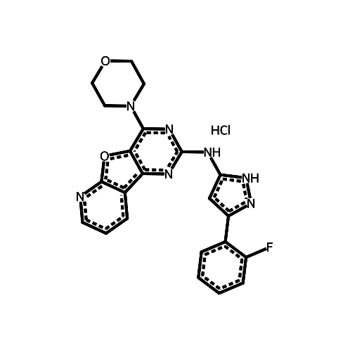 Cl.Fc1ccccc1-c1cc(Nc2nc(N3CCOCC3)c3oc4ncccc4c3n2)[nH]n1